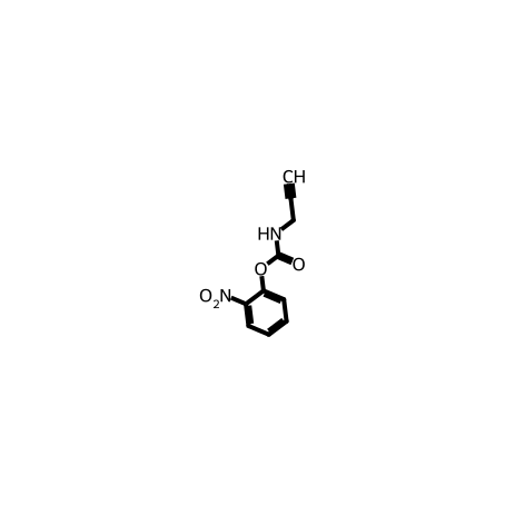 C#CCNC(=O)Oc1ccccc1[N+](=O)[O-]